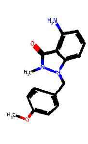 COc1ccc(Cn2c3cccc(N)c3c(=O)n2C)cc1